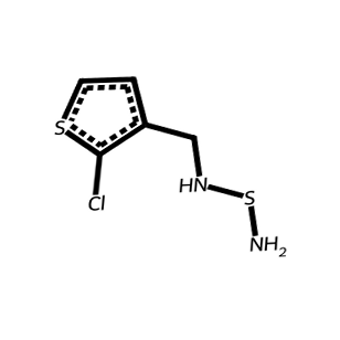 NSNCc1ccsc1Cl